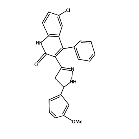 COc1cccc(C2CC(c3c(-c4ccccc4)c4cc(Cl)ccc4[nH]c3=O)=NN2)c1